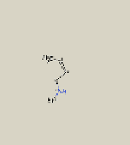 C/C=C\CNCC